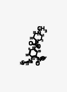 CN1CCN(S(=O)(=O)c2ccc(N=C=S)c([N+](=O)[O-])c2)CC1